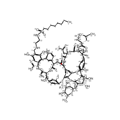 CCCCCCCCS(=O)(=O)NCCNCc1c(O)cc2c(c1O)-c1cc(ccc1O)[C@H]1NC(=O)[C@@H]3NC(=O)[C@H](CC(N)=O)NC(=O)[C@H](NC(=O)[C@@H](CC(C)C)NC)[C@H](O)c4ccc5c(c4)C(O)[C@H]4O[C@@H](Oc6c(cc3cc6O5)Oc3ccc(cc3Cl)[C@@H](O)[C@H](NC1=O)C(=O)N[C@@H]2C(=O)O)[C@H](O[C@H]1C[C@](C)(N)[C@H](O)[C@H](C)O1)[C@@H](O)[C@@H]4O